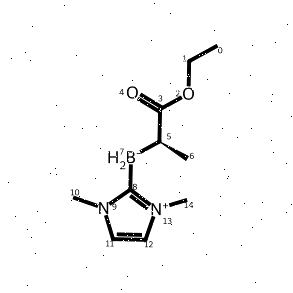 CCOC(=O)[C@@H](C)[BH2-]c1n(C)cc[n+]1C